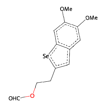 COc1cc2cc(CCOC=O)[se]c2cc1OC